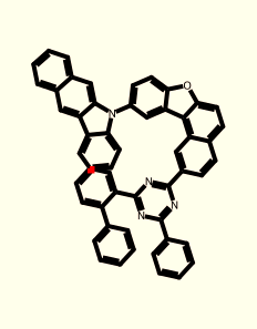 c1ccc(-c2nc(-c3ccc4ccc5oc6ccc(-n7c8ccccc8c8cc9ccccc9cc87)cc6c5c4c3)nc(-c3ccccc3-c3ccccc3)n2)cc1